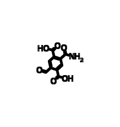 NC(=O)c1cc(C(=O)O)c(C=O)cc1C(=O)O